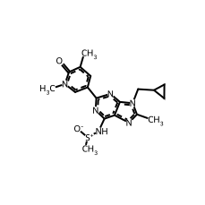 Cc1cc(-c2nc(N[S+](C)[O-])c3nc(C)n(CC4CC4)c3n2)cn(C)c1=O